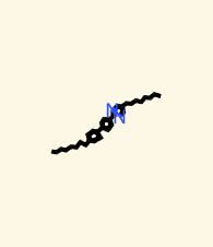 CCCCCCCCc1ccc(-c2ccc(-c3ncc(CCCCCCCC)cn3)cc2)cc1